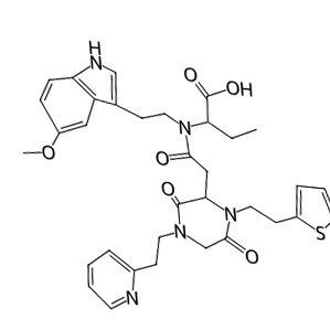 CCC(C(=O)O)N(CCc1c[nH]c2ccc(OC)cc12)C(=O)CC1C(=O)N(CCc2ccccn2)CC(=O)N1CCc1cccs1